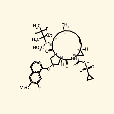 CC[C@@H]1C[C@@H](C)CCC=C[C@@H]2C[C@@]2(C(=O)NS(=O)(=O)C2CC2)NC(=O)[C@@H]2C[C@@H](Oc3nccc4cc(OC)c(F)cc34)CN2C(=O)[C@H]1N(C(=O)O)C(C)(C)C(C)(F)F